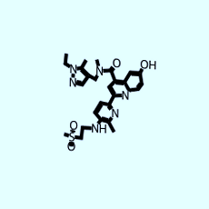 CCn1ncc(CN(C)C(=O)c2cc(-c3ccc(NCCS(C)(=O)=O)c(C)n3)nc3ccc(O)cc23)c1C